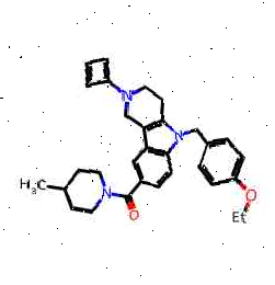 CCOc1ccc(Cn2c3c(c4cc(C(=O)N5CCC(C)CC5)ccc42)CN(C2=CC=C2)CC3)cc1